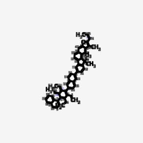 C=Cc1c(C=C)c(-c2cccc3ccccc23)c(=C/C)/c(=C\C)c1-c1ccc2cc(-c3ccc4c(c3)-c3ccc5cc6oc(/C=C\C)c(C)c6cc5c3C4(C)C)ccc2c1